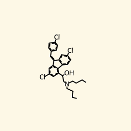 CCCCN(CCCC)CC(O)c1cc(Cl)cc2c1-c1ccc(Cl)cc1/C2=C\c1ccc(Cl)cc1